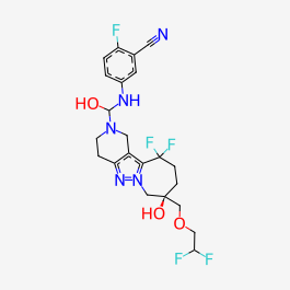 N#Cc1cc(NC(O)N2CCc3nn4c(c3C2)C(F)(F)CC[C@](O)(COCC(F)F)C4)ccc1F